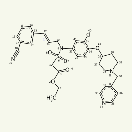 CCOC(=O)CS(=O)(=O)N(C/C=C/c1cccc(C#N)c1)c1ccc(OC2CCN(Cc3ccncc3)CC2)c(Cl)c1